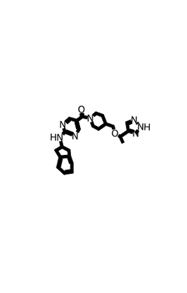 CC(OCC1CCN(C(=O)c2cnc(NC3Cc4ccccc4C3)nc2)CC1)c1cn[nH]n1